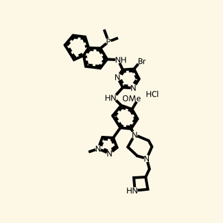 COc1cc(N2CCN(CC3CNC3)CC2)c(-c2cnn(C)c2)cc1Nc1ncc(Br)c(Nc2ccc3ccccc3c2P(C)C)n1.Cl